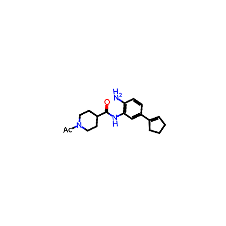 CC(=O)N1CCC(C(=O)Nc2cc(C3=CCCC3)ccc2N)CC1